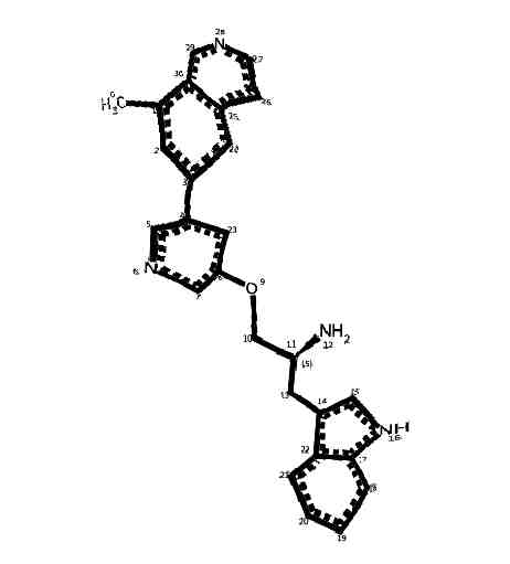 Cc1cc(-c2cncc(OC[C@@H](N)Cc3c[nH]c4ccccc34)c2)cc2ccncc12